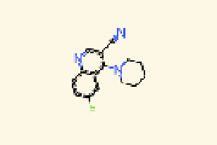 N#Cc1cnc2ccc(F)cc2c1N1CCCCC1